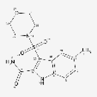 Cc1ccc2[nH]c(C(N)=O)c(S(=O)(=O)N3CCOCC3)c2c1